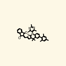 Cc1cc(C)c(-c2ccc3c(c2)C(C)(C)c2cc(C=C4C(=O)c5ccccc5C4=O)sc2N3c2c(C)nc(C)nc2C)c(C)c1